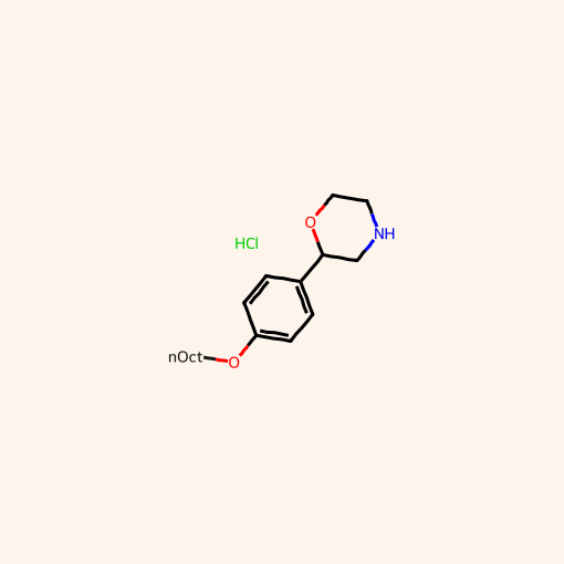 CCCCCCCCOc1ccc(C2CNCCO2)cc1.Cl